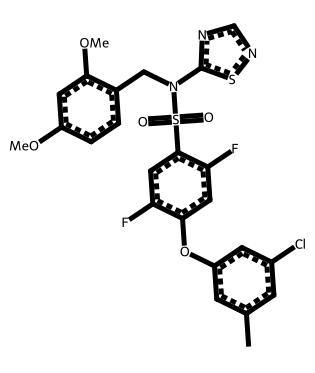 COc1ccc(CN(c2ncns2)S(=O)(=O)c2cc(F)c(Oc3cc(C)cc(Cl)c3)cc2F)c(OC)c1